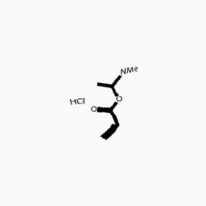 C=CC(=O)OC(C)NC.Cl